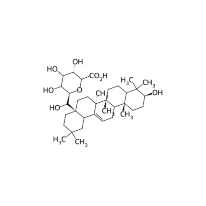 CC1(C)CC[C@]2(C(O)[C@@H]3OC(C(=O)O)[C@@H](O)C(O)C3O)CC[C@]3(C)C(=CCC4[C@@]5(C)CC[C@H](O)C(C)(C)C5CC[C@]43C)C2C1